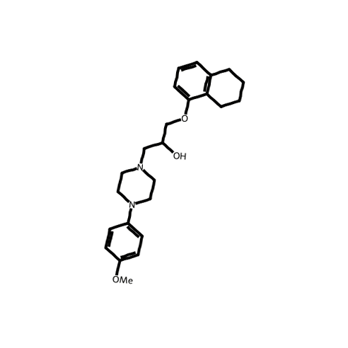 COc1ccc(N2CCN(CC(O)COc3cccc4c3CCCC4)CC2)cc1